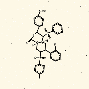 COc1ccc(C2CC(=O)[C@@H]3CC(S(=O)(=O)c4ccc(C)cc4)C(c4ccccc4F)C[C@@H]3C2S(=O)(=O)c2ccccc2)cc1